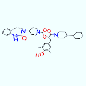 Cc1cc(C[C@@H](OC(=O)N2CCC(N3CCc4ccccc4NC3=O)CC2)C(=O)N2CCC(C3CCCCC3)CC2)cc(C)c1O